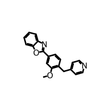 COc1cc(-c2nc3ccccc3o2)ccc1Cc1ccncc1